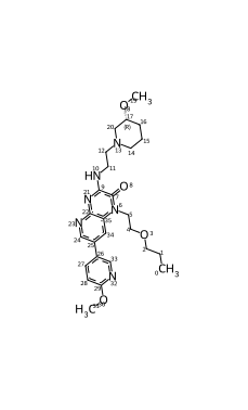 CCCOCCn1c(=O)c(NCCN2CCC[C@@H](OC)C2)nc2ncc(-c3ccc(OC)nc3)cc21